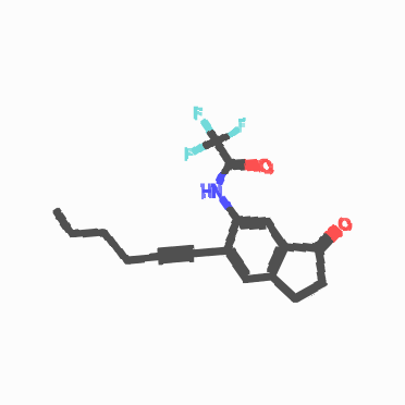 CCCCC#Cc1cc2c(cc1NC(=O)C(F)(F)F)C(=O)CC2